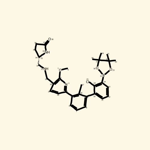 COc1nc(-c2cccc(-c3cccc(B4OC(C)(C)C(C)(C)O4)c3Cl)c2C)ccc1CNC[C@@H]1CCC(=O)N1